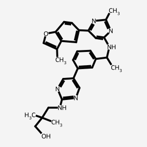 Cc1nc(NC(C)c2cccc(-c3cnc(NCC(C)(C)CO)nc3)c2)cc(-c2ccc3occ(C)c3c2)n1